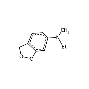 CCN(C)c1ccc2c(c1)OOC2